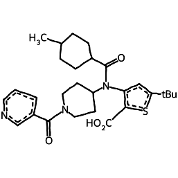 CC1CCC(C(=O)N(c2cc(C(C)(C)C)sc2C(=O)O)C2CCN(C(=O)c3cccnc3)CC2)CC1